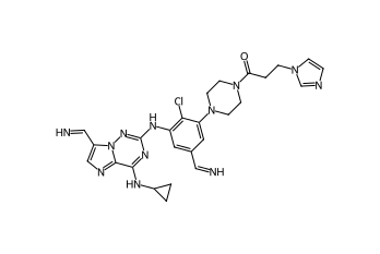 N=Cc1cc(Nc2nc(NC3CC3)c3ncc(C=N)n3n2)c(Cl)c(N2CCN(C(=O)CCn3ccnc3)CC2)c1